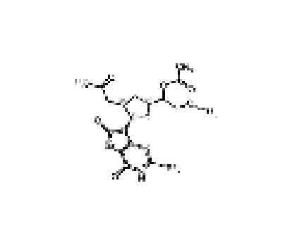 COCC(OC(C)=O)[C@@H]1C[C@H](CC(=O)O)[C@H](n2c(=O)sc3c(=O)[nH]c(N)nc32)O1